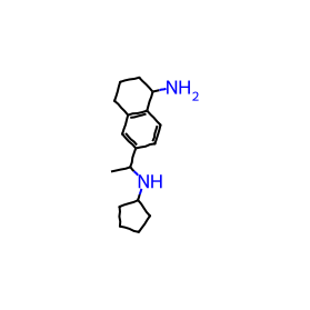 CC(NC1CCCC1)c1ccc2c(c1)CCCC2N